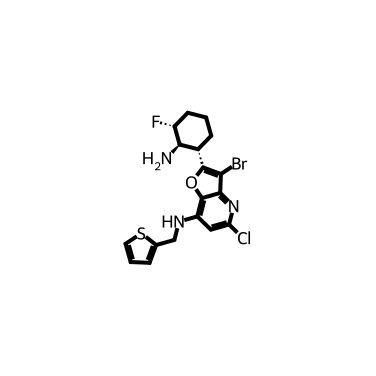 N[C@H]1[C@H](F)CCC[C@@H]1c1oc2c(NCc3cccs3)cc(Cl)nc2c1Br